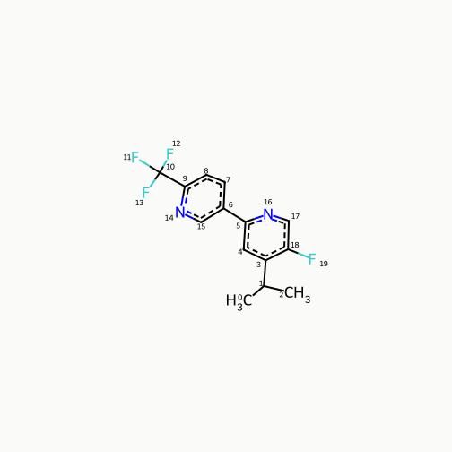 CC(C)c1cc(-c2ccc(C(F)(F)F)nc2)ncc1F